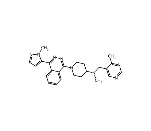 Cc1ncncc1CN(C)C1CCN(c2nnc(-c3ccnn3C)c3ccccc23)CC1